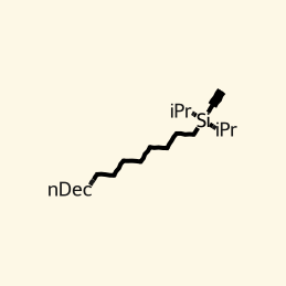 C#C[Si](CCCCCCCCCCCCCCCCCC)(C(C)C)C(C)C